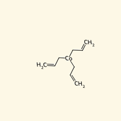 C=C[CH2][Co]([CH2]C=C)[CH2]C=C